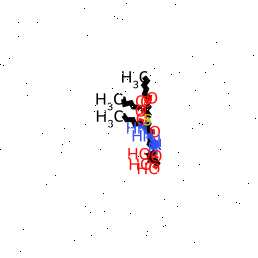 CCCCCC(=O)NC(CSCC(COC(=O)CCCCC)OC(=O)CCCCC)C(=O)Nc1cn([C@H]2OC(CO)[C@@H](O)[C@H]2O)nn1